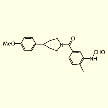 COc1ccc(C2C3CN(C(=O)c4ccc(C)c(NC=O)c4)CC32)cc1